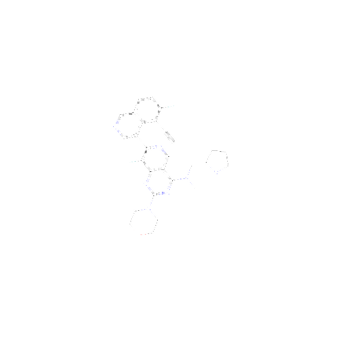 C#Cc1c(F)ccc2cncc(-c3ncc4c(N(C)C[C@@H]5CCCN5)nc(N5CCOCC5)nc4c3F)c12